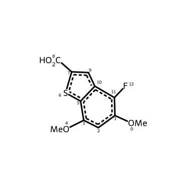 COc1cc(OC)c2sc(C(=O)O)cc2c1F